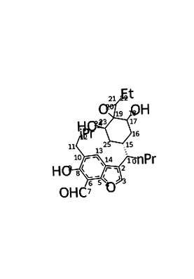 CCCC(c1coc2c(C=O)c(O)c(CC(C)C)cc12)[C@H]1CC(O)C2(OC2CC)[C@H](O)C1